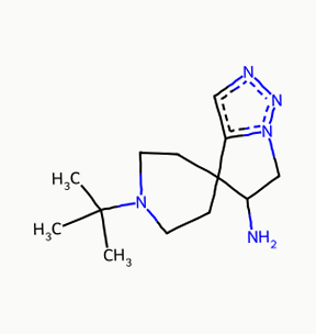 CC(C)(C)N1CCC2(CC1)c1cnnn1CC2N